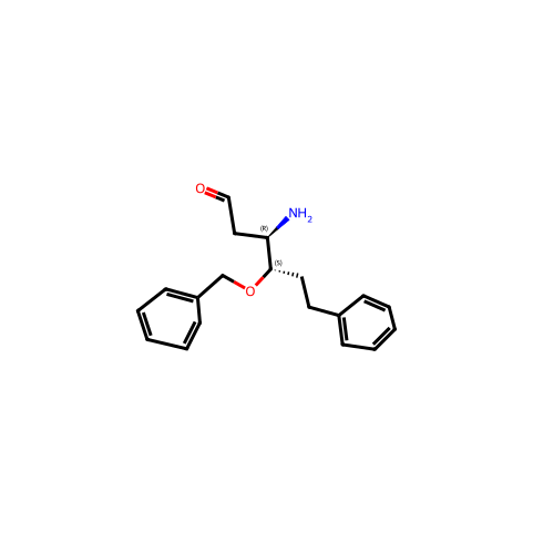 N[C@H](CC=O)[C@H](CCc1ccccc1)OCc1ccccc1